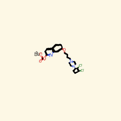 CC(C)(C)OC(=O)Oc1ccc2ccc(OCCCCN3CCN(c4cccc(Cl)c4Cl)CC3)cc2n1